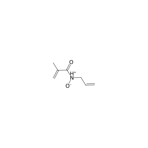 C=CC[NH+]([O-])C(=O)C(=C)C